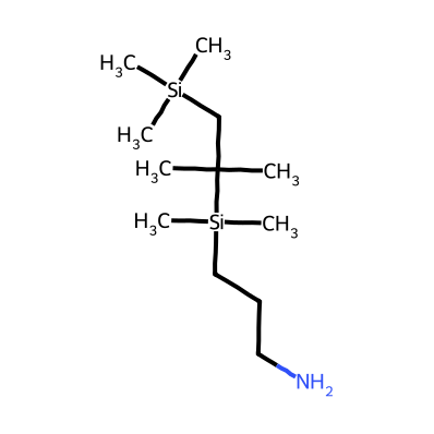 CC(C)(C[Si](C)(C)C)[Si](C)(C)CCCN